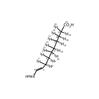 [2H]C([2H])(C=CCCCCCC)C([2H])([2H])C([2H])([2H])C([2H])([2H])C([2H])([2H])C([2H])([2H])C([2H])([2H])C(=O)O